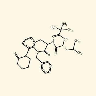 CC(C)C[C@@H](NC(=O)C(C)(C)N)C(=O)NC1Cc2cccc(N3CCCCC3=O)c2N(Cc2ccccc2)C1=O